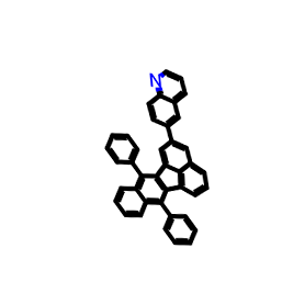 c1ccc(-c2c3c(c(-c4ccccc4)c4ccccc24)-c2cc(-c4ccc5ncccc5c4)cc4cccc-3c24)cc1